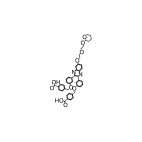 O=C(O)c1ccc(COc2cccc(-c3nc4ccc(OCCOCCOC5CCCCO5)cc4nc3-c3cccc(OCc4ccc(C(=O)O)cc4)c3)c2)cc1